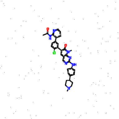 CC(=O)Nc1ncccc1-c1ccc(Cl)c(-c2cc3cnc(Nc4ccc(C5CCN(C)CC5)cc4)nc3n(C)c2=O)c1